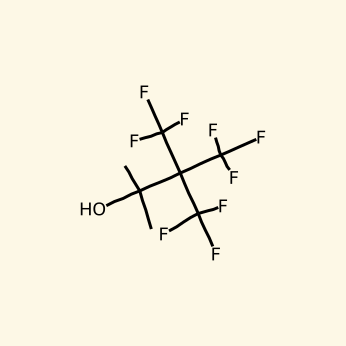 CC(C)(O)C(C(F)(F)F)(C(F)(F)F)C(F)(F)F